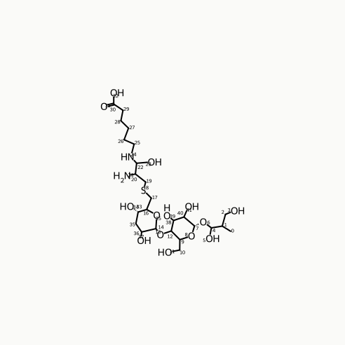 CC(CO)C(O)O[C@@H]1OC(CO)C(OC2OC(CSCC(N)C(O)NCCCCCC(=O)O)[C@@H](O)CC2O)C(O)C1O